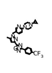 Cc1cc(-c2nc(-c3ccc(C(F)(F)F)cc3)no2)nn1Cc1ccc(N2CCN(C3CC3)CC2)nc1